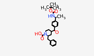 C[C@H](NC(=O)OC(C)(C)C)c1ccc(C(=O)C2CCN(C(=O)O)C(Cc3ccccc3)C2)cc1